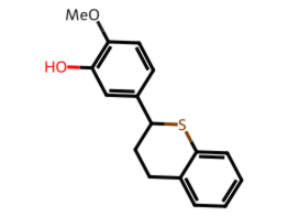 COc1ccc(C2CCc3ccccc3S2)cc1O